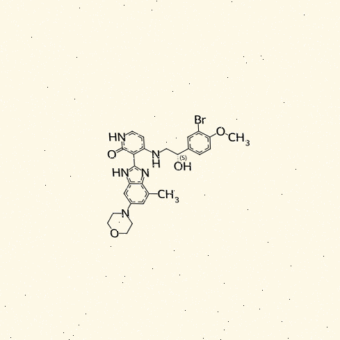 COc1ccc([C@H](O)CNc2cc[nH]c(=O)c2-c2nc3c(C)cc(N4CCOCC4)cc3[nH]2)cc1Br